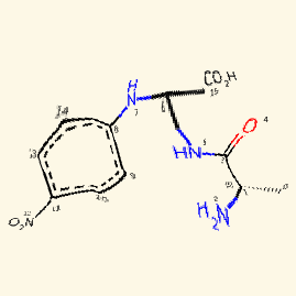 C[C@H](N)C(=O)NC(Nc1ccc([N+](=O)[O-])cc1)C(=O)O